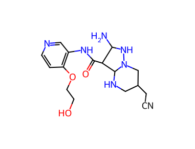 N#CCC1CNC2C(C(=O)Nc3cnccc3OCCO)C(N)NN2C1